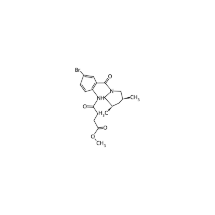 COC(=O)CCC(=O)Nc1ccc(Br)cc1C(=O)N1C[C@H](C)C[C@H](C)C1